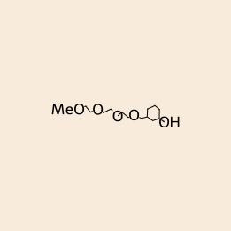 COCCOCCOCCOCC1CCC[C@@H](O)C1